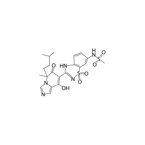 CC(C)CCC1(C)C(=O)C(C2=NS(=O)(=O)c3cc(NS(C)(=O)=O)ccc3N2)=C(O)c2cncn21